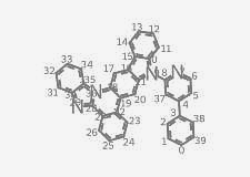 c1ccc(-c2ccnc(-n3c4ccccc4c4cc5c(cc43)c3ccccc3c3nc4ccccc4n53)c2)cc1